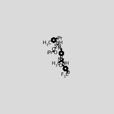 Cc1ccc(C(C)C)c(N/C(=N/N=C/c2ccc(-n3cc(NC(=O)c4ccc(OC(F)(F)F)cc4)c(C)n3)cc2)SCOC(=O)C(C)C)c1